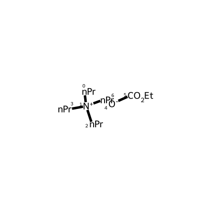 CCC[N+](CCC)(CCC)CCC.CCOC(=O)[O-]